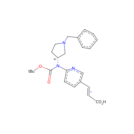 CC(C)(C)OC(=O)N(c1ccc(/C=C/C(=O)O)cn1)[C@@H]1CCN(Cc2ccccc2)C1